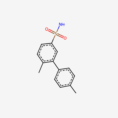 Cc1ccc(-c2cc(S([NH])(=O)=O)ccc2C)cc1